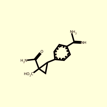 N=C(N)c1ccc(C2CC2(C(N)=O)C(=O)O)cc1